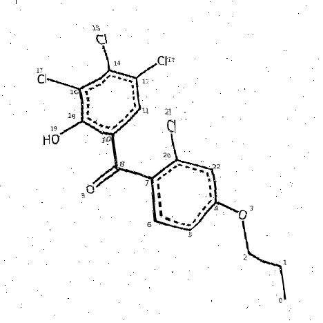 CCCOc1ccc(C(=O)c2cc(Cl)c(Cl)c(Cl)c2O)c(Cl)c1